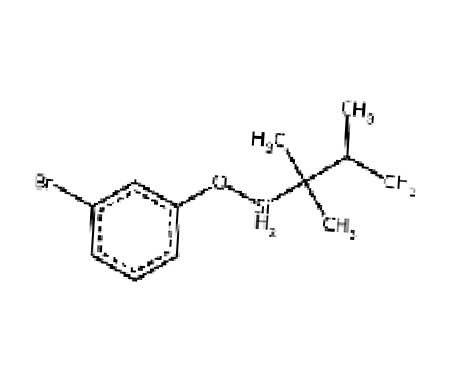 CC(C)C(C)(C)[SiH2]Oc1cccc(Br)c1